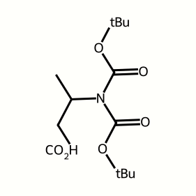 CC(CC(=O)O)N(C(=O)OC(C)(C)C)C(=O)OC(C)(C)C